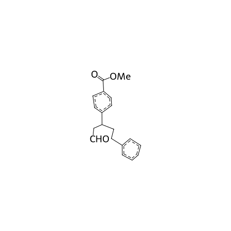 COC(=O)c1ccc(C(CC=O)CCc2ccccc2)cc1